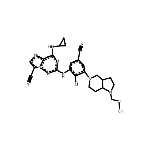 COCN1CCC2CN(c3cc(C#N)cc(Nc4nc(NC5CC5)c5ncc(C#N)n5n4)c3Cl)CCC21